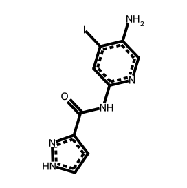 Nc1cnc(NC(=O)c2cc[nH]n2)cc1I